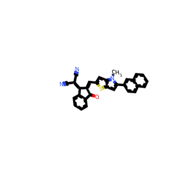 Cn1c(-c2ccc3ccccc3c2)cc2sc(/C=C3\C(=O)c4ccccc4C3=C(C#N)C#N)cc21